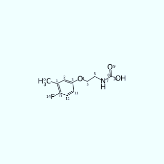 Cc1cc(OCCNC(=O)O)ccc1F